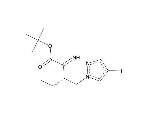 CC[C@@H](Cn1cc(I)cn1)C(=N)C(=O)OC(C)(C)C